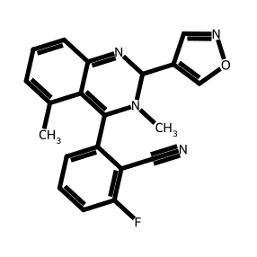 Cc1cccc2c1=C(c1cccc(F)c1C#N)N(C)C(c1cnoc1)N=2